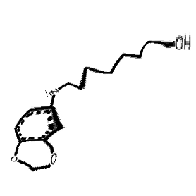 OCCCCCCNc1ccc2c(c1)OCO2